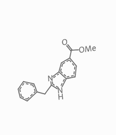 COC(=O)c1ccc2[nH]c(Cc3ccccc3)nc2c1